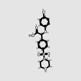 O=C(O)C(Oc1ccc(Cl)cc1)c1ccc(S(=O)(=O)N2CCOCC2)cc1